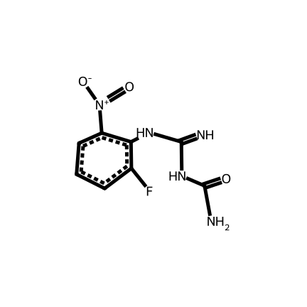 N=C(NC(N)=O)Nc1c(F)cccc1[N+](=O)[O-]